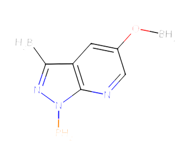 BOc1cnc2c(c1)c(B)nn2P